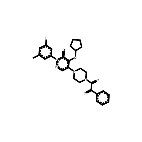 Cc1cc(F)cc(-n2ncc(N3CCN(C(=O)C(=O)c4ccccc4)CC3)c(OC3CCCC3)c2=O)c1